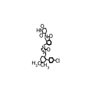 CC1(C)CCC(CN2CCN(Cc3cccc4c3CN(C3CCC(=O)NC3=O)C4=O)C2=O)=C(c2ccc(Cl)cc2)C1